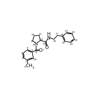 Cc1cccc(C(=O)N2CCCC2C(=O)NCCc2ccccc2)c1